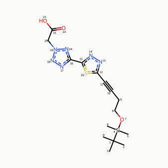 CC(C)(C)[Si](C)(C)OCCC#Cc1nnc(-c2nnn(CC(=O)O)n2)s1